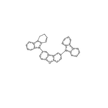 C1=Cc2c(c3ccccc3n2-c2ccc3oc4ccc(-n5c6ccccc6c6ccccc65)cc4c3c2)CC1